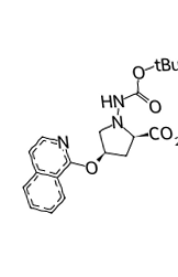 CC(C)(C)OC(=O)NN1C[C@H](Oc2nccc3ccccc23)C[C@@H]1C(=O)O